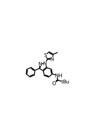 Cc1csc(-n2nc(-c3ccccc3)c3ccc(NC(=O)C(C)(C)C)cc32)n1